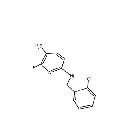 Bc1ccc(NCc2ccccc2Cl)nc1F